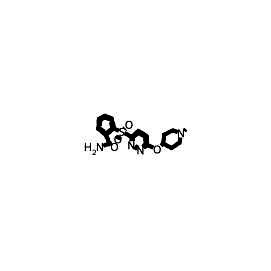 CN1CCC(Oc2ccc(S(=O)(=O)c3ccccc3C(N)=O)nn2)CC1